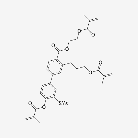 C=C(C)C(=O)OCCCc1cc(-c2ccc(OC(=O)C(=C)C)c(SC)c2)ccc1C(=O)OCCOC(=O)C(=C)C